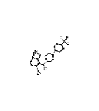 O=C(c1c(C2CC2)ccn2cncc12)C1CCC(c2ccc(C(F)(F)F)cc2)CC1